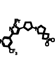 CC(C)n1nc(-c2cncc(C(F)(F)F)c2)cc1[C@H]1CC[C@@H](N2CCC3(C2)CS(=O)(=O)C3)C1